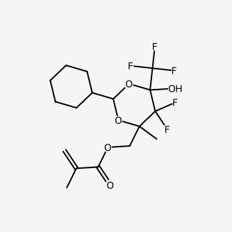 C=C(C)C(=O)OCC1(C)OC(C2CCCCC2)OC(O)(C(F)(F)F)C1(F)F